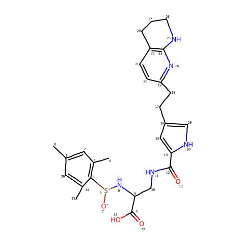 Cc1cc(C)c([S+]([O-])NC(CNC(=O)c2cc(CCc3ccc4c(n3)NCCC4)c[nH]2)C(=O)O)c(C)c1